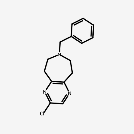 Clc1cnc2c(n1)CCN(Cc1ccccc1)CC2